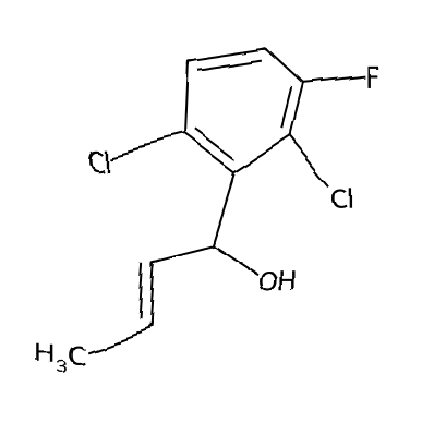 CC=CC(O)c1c(Cl)ccc(F)c1Cl